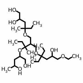 CCOCC(O)CC(CC)(CC)OCC(COC(C)(CC)CC(O)CO)C(C)(CC)OC(CO)CC(C)O